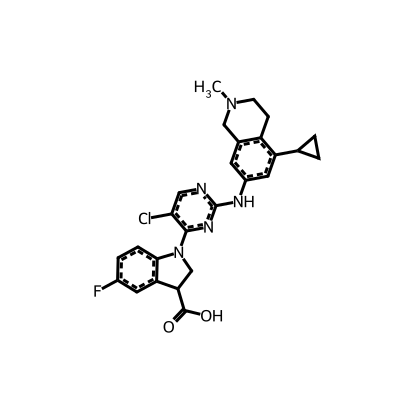 CN1CCc2c(cc(Nc3ncc(Cl)c(N4CC(C(=O)O)c5cc(F)ccc54)n3)cc2C2CC2)C1